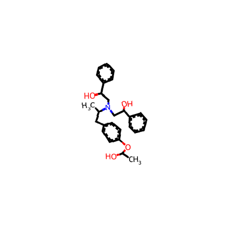 CC(O)Oc1ccc(CC(C)N(CC(O)c2ccccc2)CC(O)c2ccccc2)cc1